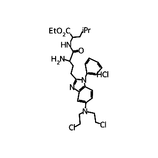 CCOC(=O)C(CC(C)C)NC(=O)C(N)CCc1nc2cc(N(CCCl)CCCl)ccc2n1-c1ccccc1.Cl